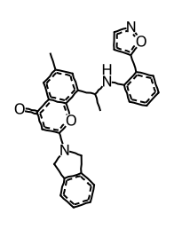 Cc1cc(C(C)Nc2ccccc2-c2ccno2)c2oc(N3Cc4ccccc4C3)cc(=O)c2c1